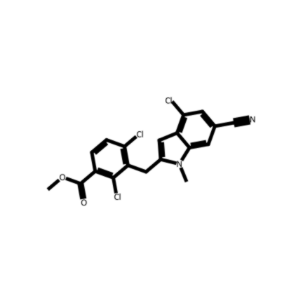 COC(=O)c1ccc(Cl)c(Cc2cc3c(Cl)cc(C#N)cc3n2C)c1Cl